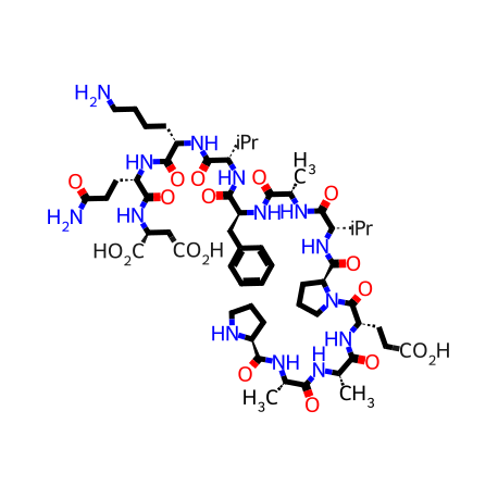 CC(C)[C@H](NC(=O)[C@H](Cc1ccccc1)NC(=O)[C@H](C)NC(=O)[C@@H](NC(=O)[C@@H]1CCCN1C(=O)[C@H](CCC(=O)O)NC(=O)[C@H](C)NC(=O)[C@H](C)NC(=O)[C@@H]1CCCN1)C(C)C)C(=O)N[C@@H](CCCCN)C(=O)N[C@@H](CCC(N)=O)C(=O)N[C@@H](CC(=O)O)C(=O)O